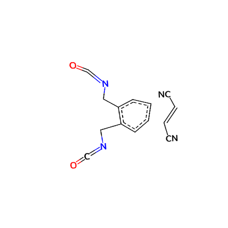 N#CC=CC#N.O=C=NCc1ccccc1CN=C=O